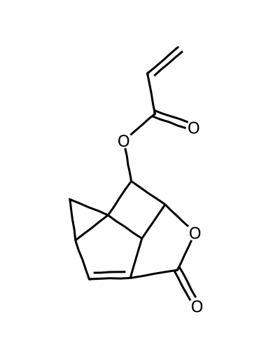 C=CC(=O)OC1C2OC(=O)C3=CC4CC41C32